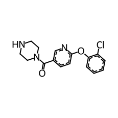 O=C(c1ccc(Oc2ccccc2Cl)nc1)N1CCNCC1